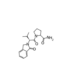 CC(C)[C@@H](C(=O)N1CCCC1C(N)=O)N1Cc2ccccc2C1=O